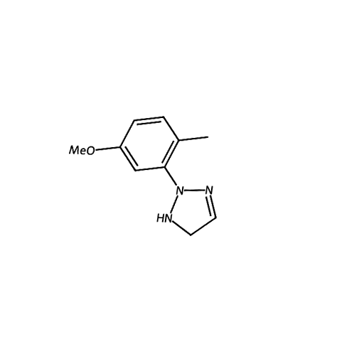 COc1ccc(C)c(N2N=CCN2)c1